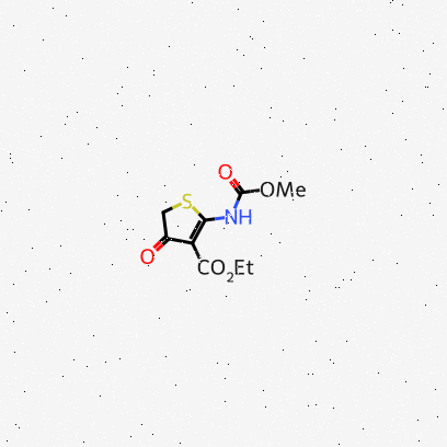 CCOC(=O)C1=C(NC(=O)OC)SCC1=O